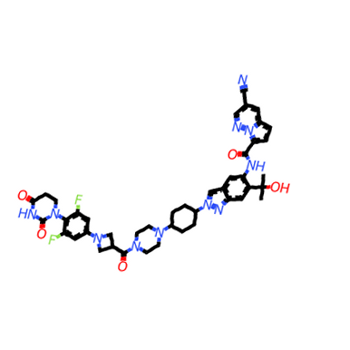 CC(C)(O)c1cc2nn(C3CCC(N4CCN(C(=O)C5CN(c6cc(F)c(N7CCC(=O)NC7=O)c(F)c6)C5)CC4)CC3)cc2cc1NC(=O)c1ccc2cc(C#N)cnn12